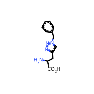 NC(Cc1cn(Cc2ccccc2)nn1)C(=O)O